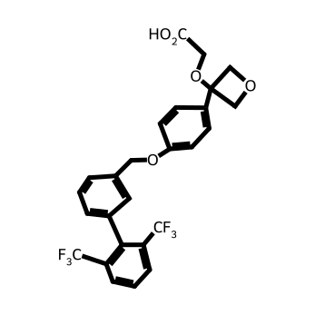 O=C(O)COC1(c2ccc(OCc3cccc(-c4c(C(F)(F)F)cccc4C(F)(F)F)c3)cc2)COC1